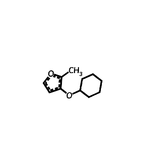 Cc1occc1OC1CCCCC1